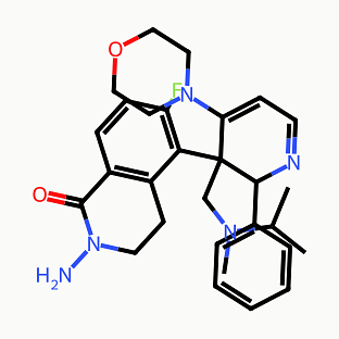 CC(C)N(C)CC1(c2c(F)ccc3c2CCN(N)C3=O)C(N2CCOCC2)=CC=NC1c1ccccc1